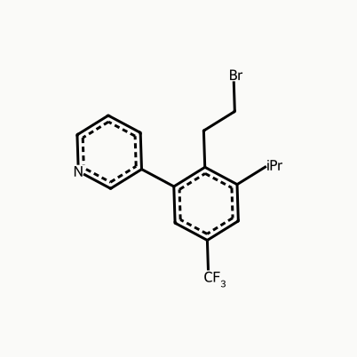 CC(C)c1cc(C(F)(F)F)cc(-c2cccnc2)c1CCBr